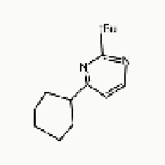 CC(C)(C)c1nccc(C2CCCCC2)n1